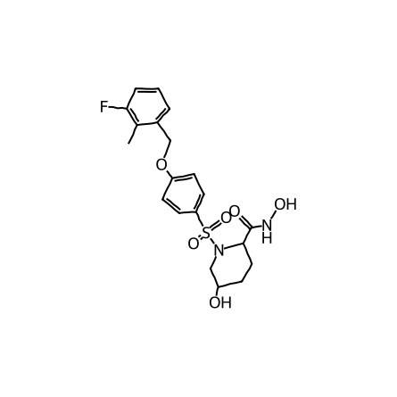 Cc1c(F)cccc1COc1ccc(S(=O)(=O)N2CC(O)CCC2C(=O)NO)cc1